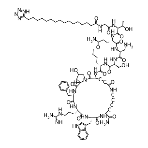 CCCC[C@H](NC(=O)[C@H](CO)NC(=O)[C@H](CN)NC(=O)[C@H](CCC(N)=O)NC(=O)[C@@H](NC(=O)CNC(=O)CCCCCCCCCCCCCCCc1nnn[nH]1)[C@@H](C)O)C(=O)N[C@H]1CCC(=O)NCCCC[C@@H](C(N)=O)NC(=O)[C@H](Cc2c[nH]c3ccccc23)NC(=O)[C@H](CCCNC(=N)N)NC(=O)[C@@H](Cc2ccccc2)NC(=O)[C@@H]2C[C@@H](O)CN2C1=O